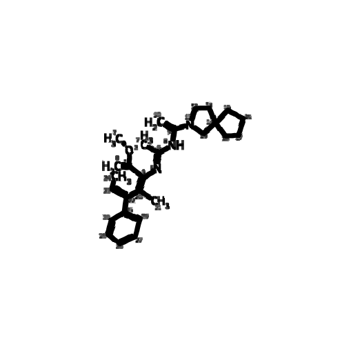 C=C(OC)C(/N=C(\C)NC(=C)N1CCC2(CCCC2)C1)=C(C)\C(=C/C)c1ccccc1